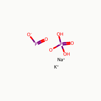 O=P([O-])(O)O.O=P[O-].[K+].[Na+]